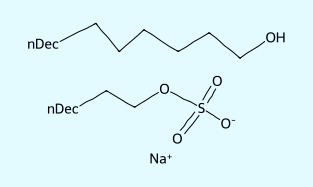 CCCCCCCCCCCCCCCCO.CCCCCCCCCCCCOS(=O)(=O)[O-].[Na+]